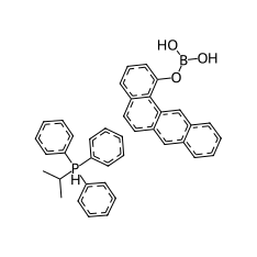 CC(C)[PH](c1ccccc1)(c1ccccc1)c1ccccc1.OB(O)Oc1cccc2ccc3cc4ccccc4cc3c12